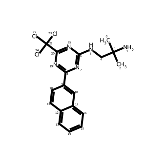 CC(C)(N)CNc1nc(-c2ccc3ccccc3c2)nc(C(Cl)(Cl)Cl)n1